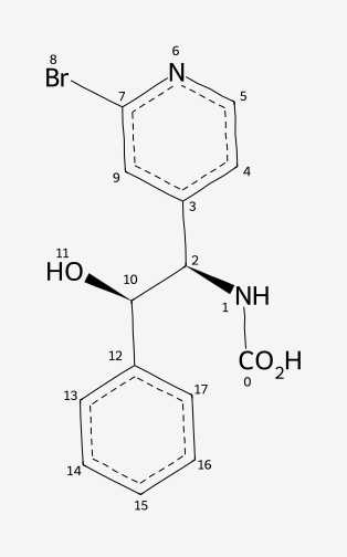 O=C(O)N[C@H](c1ccnc(Br)c1)[C@H](O)c1ccccc1